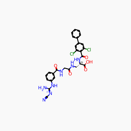 N#C/N=C(\N)Nc1cccc(C(=O)NCC(=O)NC[C@H](NC(=O)c2c(Cl)cc(-c3ccccc3)cc2Cl)C(=O)O)c1